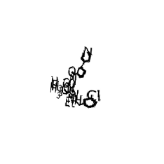 CC=C(C(=N)/N=C\C(CC)Cc1cccc(Cl)c1)N1CCN(C(=O)c2cccc(-c3ccncc3)c2)CC1(C)C